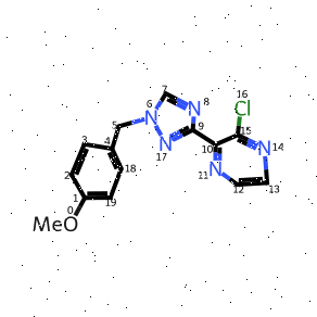 COc1ccc(Cn2cnc(-c3nccnc3Cl)n2)cc1